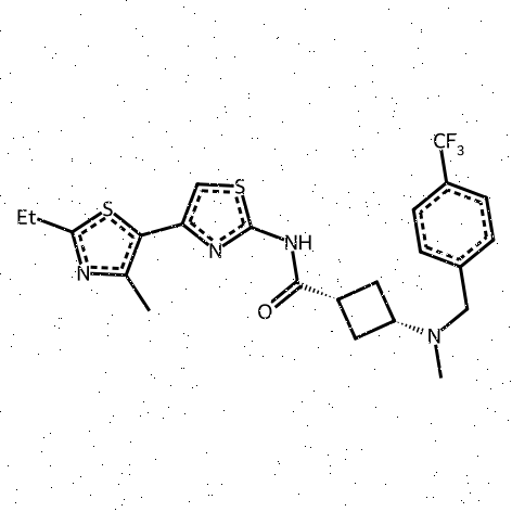 CCc1nc(C)c(-c2csc(NC(=O)[C@H]3C[C@@H](N(C)Cc4ccc(C(F)(F)F)cc4)C3)n2)s1